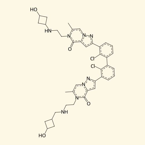 Cc1cn2nc(-c3cccc(-c4cccc(-c5cc6c(=O)n(CCNC7CC(O)C7)c(C)cn6n5)c4Cl)c3Cl)cc2c(=O)n1CCNCC1CC(O)C1